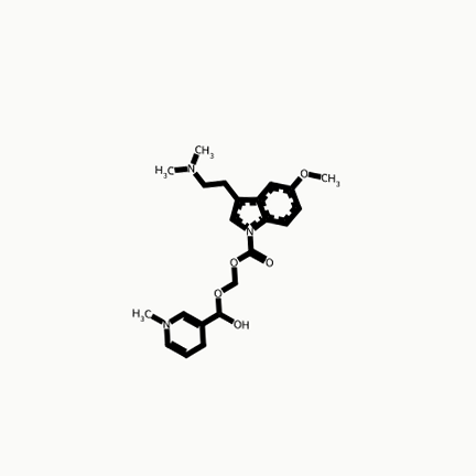 COc1ccc2c(c1)c(CCN(C)C)cn2C(=O)OCOC(O)C1=CN(C)C=CC1